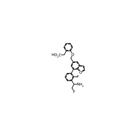 NC(CF)c1cccc(-c2cc(COc3ccccc3CC(=O)O)cc3ccoc23)c1F